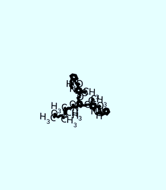 COc1cc2c(cc1OCc1cc(COc3cc4c(cc3OC)C(=O)N3c5ccccc5C[C@H]3C=N4)cc(NC(=O)CCC(C)(C)SSC(C)CCC(C)=O)c1)N=C[C@@H]1Cc3ccccc3N1C2=O